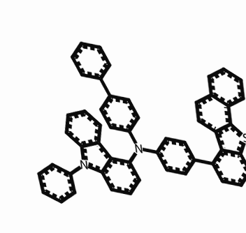 c1ccc(-c2ccc(N(c3ccc(-c4cccc5sc6c7ccccc7ccc6c45)cc3)c3cccc4c3c3ccccc3n4-c3ccccc3)cc2)cc1